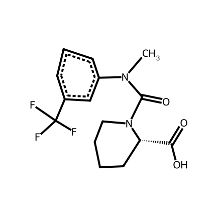 CN(C(=O)N1CCCC[C@H]1C(=O)O)c1cccc(C(F)(F)F)c1